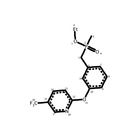 CCOP(C)(=O)Cc1cccc(Oc2ccc(C(F)(F)F)cn2)c1